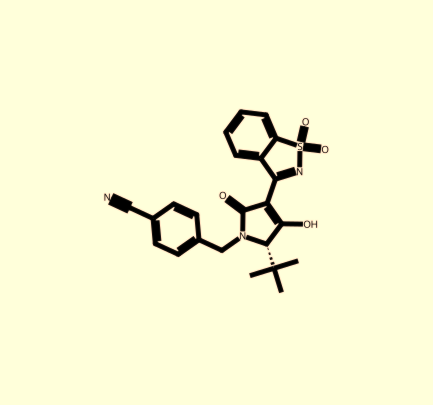 CC(C)(C)[C@H]1C(O)=C(C2=NS(=O)(=O)c3ccccc32)C(=O)N1Cc1ccc(C#N)cc1